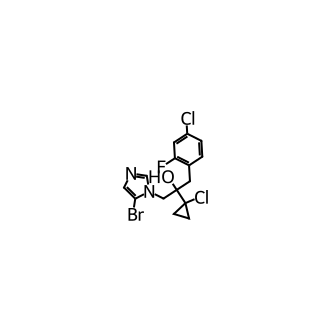 OC(Cc1ccc(Cl)cc1F)(Cn1cncc1Br)C1(Cl)CC1